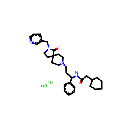 Cl.Cl.O=C(CC1CCCCC1)NC(CCN1CCC2(CC1)CCN(Cc1cccnc1)C2=O)c1ccccc1